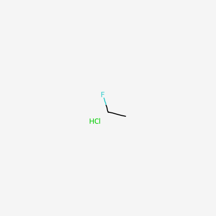 CCF.Cl